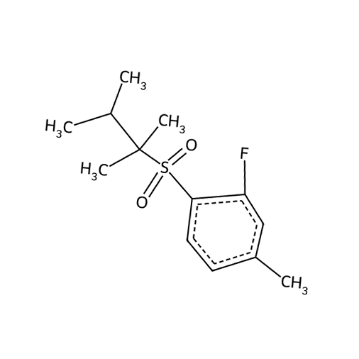 Cc1ccc(S(=O)(=O)C(C)(C)C(C)C)c(F)c1